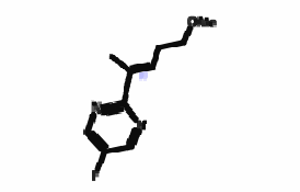 COCC/C=C(\C)c1ncc(F)cn1